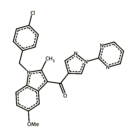 COc1ccc2c(c1)c(C(=O)c1cnn(-c3ncccn3)c1)c(C)n2Cc1ccc(Cl)cc1